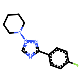 Fc1ccc(-c2ncn(N3CC[CH]CC3)n2)cc1